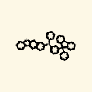 c1ccc(N(c2cccc(C3(c4ccccc4)c4ccccc4-c4ccccc43)c2)c2ccc3cc4c(cc3c2)sc2ccccc24)cc1